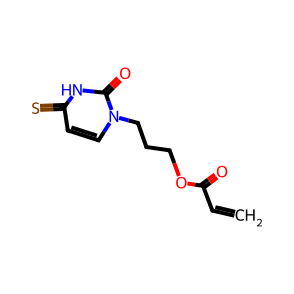 C=CC(=O)OCCCn1ccc(=S)[nH]c1=O